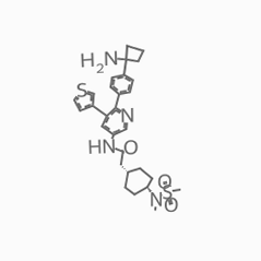 CN([C@H]1CC[C@H](CC(=O)Nc2cnc(-c3ccc(C4(N)CCC4)cc3)c(-c3ccsc3)c2)CC1)S(C)(=O)=O